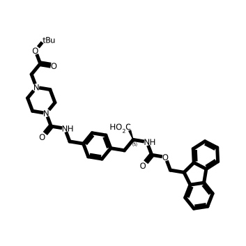 CC(C)(C)OC(=O)CN1CCN(C(=O)NCc2ccc(C[C@H](NC(=O)OCC3c4ccccc4-c4ccccc43)C(=O)O)cc2)CC1